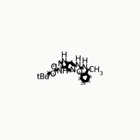 C[C@@H](NC(=O)Nc1cc2[nH]nc(NC(=O)OCC(C)(C)C)c2cn1)c1ccccc1